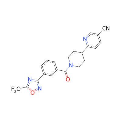 N#Cc1ccc(C2CCN(C(=O)c3cccc(-c4noc(C(F)(F)F)n4)c3)CC2)nc1